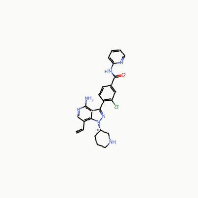 C=Cc1cnc(N)c2c(-c3ccc(C(=O)Nc4ccccn4)cc3Cl)nn([C@@H]3CCCNC3)c12